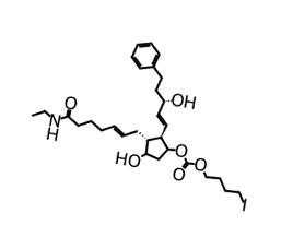 CCNC(=O)CCCC=CC[C@H]1C(O)CC(OC(=O)OCCCCI)[C@@H]1C=C[C@@H](O)CCc1ccccc1